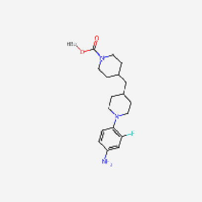 CC(C)(C)OC(=O)N1CCC(CC2CCN(c3ccc(N)cc3F)CC2)CC1